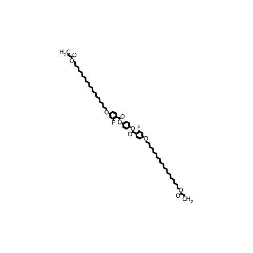 C=CC(=O)OCCCCCCCCCCCCCCCCCCCOc1ccc(C(=O)Oc2ccc(OC(=O)c3ccc(OCCCCCCCCCCCCCCCCCCCOC(=O)C=C)cc3F)cc2)c(F)c1